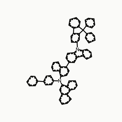 c1ccc(-c2ccc(N(c3ccc(-c4ccc5c(c4)c4ccccc4n5-c4ccc5c(c4)C(c4ccccc4)(c4ccccc4)c4ccccc4-5)c4ccccc34)c3cc4ccccc4c4ccccc34)cc2)cc1